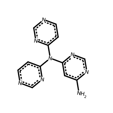 Nc1cc(N(c2ccncn2)c2ccncn2)ncn1